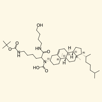 CC(C)CCCC(C)[C@H]1CC[C@H]2[C@@H]3CC=C4C[C@@H](N(C(=O)O)C(CCCCNC(=O)OC(C)(C)C)C(=O)NCCCCO)CC[C@]4(C)[C@H]3CC[C@]12C